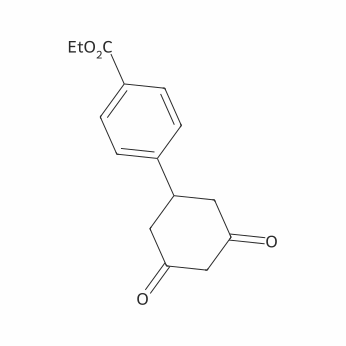 CCOC(=O)c1ccc(C2CC(=O)CC(=O)C2)cc1